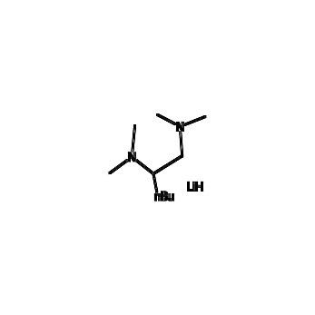 CCCCC(CN(C)C)N(C)C.[LiH]